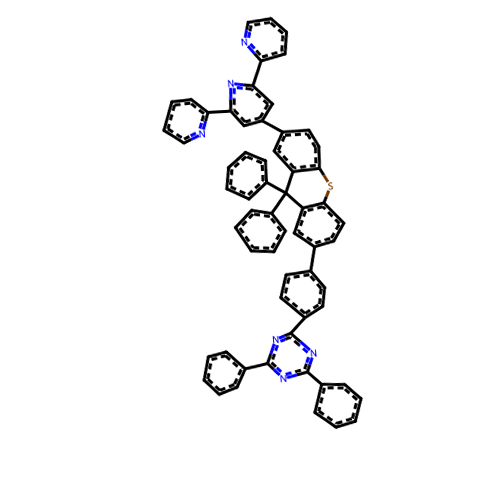 c1ccc(-c2nc(-c3ccccc3)nc(-c3ccc(-c4ccc5c(c4)C(c4ccccc4)(c4ccccc4)c4cc(-c6cc(-c7ccccn7)nc(-c7ccccn7)c6)ccc4S5)cc3)n2)cc1